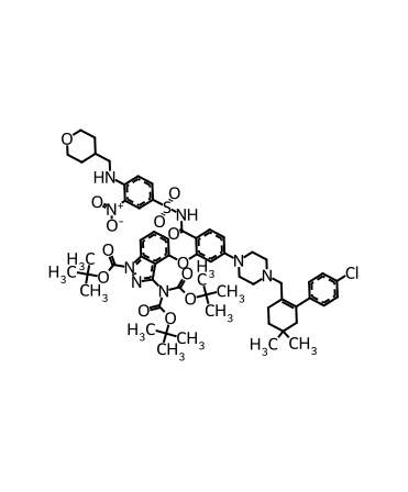 CC1(C)CCC(CN2CCN(c3ccc(C(=O)NS(=O)(=O)c4ccc(NCC5CCOCC5)c([N+](=O)[O-])c4)c(Oc4cccc5c4c(N(C(=O)OC(C)(C)C)C(=O)OC(C)(C)C)nn5C(=O)OC(C)(C)C)c3)CC2)=C(c2ccc(Cl)cc2)C1